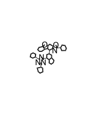 c1ccc(-c2nc(-c3ccccc3)nc(-c3cc(-c4c5nc(-c6ccccc6)oc5cc5oc6ccccc6c45)cc4ccccc34)n2)cc1